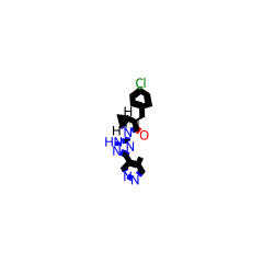 Cc1cnncc1-c1n[nH]c(N2C(=O)[C@H](Cc3ccc(Cl)cc3)[C@@H]3C[C@@H]32)n1